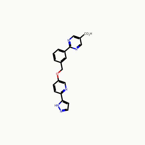 O=C(O)c1cnc(-c2cccc(COc3ccc(-c4ccn[nH]4)nc3)c2)nc1